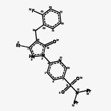 CCc1[nH]n(-c2ccc(S(=O)(=O)N(C(C)C)C(C)C)cn2)c(=O)c1Cc1ccccc1F